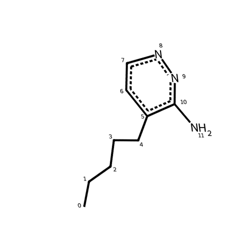 CCCCCc1ccnnc1N